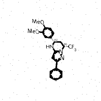 COc1ccc([C@@H]2C[C@H](C(F)(F)F)n3nc(-c4cc[c]cc4)cc3N2)cc1OC